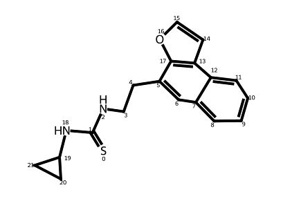 S=C(NCCc1cc2ccccc2c2ccoc12)NC1CC1